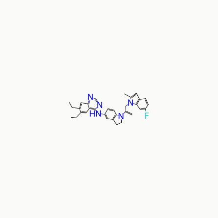 C=C(Cn1c(C)cc2ccc(F)cc21)N1CCc2cc(Nc3ncnc4cc(CC)c(CC)cc34)ccc21